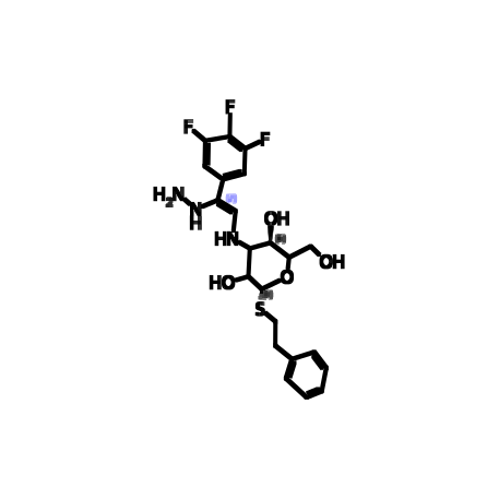 NN/C(=C\NC1C(O)[C@@H](SCCc2ccccc2)OC(CO)[C@@H]1O)c1cc(F)c(F)c(F)c1